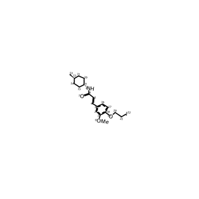 COc1cc(C=CC(=O)N[C@H]2CC[C@H](C)CC2)ccc1OCCI